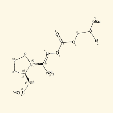 CCCCC(CC)COC(=O)ON=C(N)[C@@H]1CCC[C@@H]1NC(=O)O